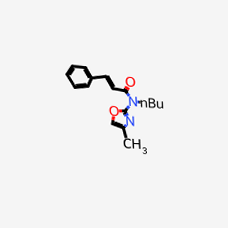 CCCCN(C(=O)C=Cc1ccccc1)c1nc(C)co1